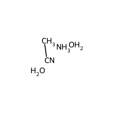 CC#N.N.O.O